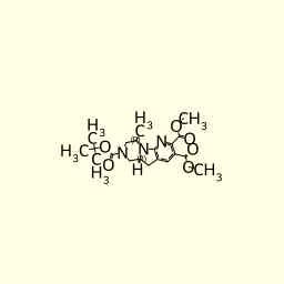 COC(=O)c1cc2c(nc1C(=O)OC)N1[C@H](C2)CN(C(=O)OC(C)(C)C)C[C@H]1C